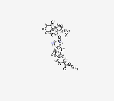 C=C(/C=C\C(=C/CCl)OCc1c(-c2c(Cl)cccc2Cl)noc1C1CC1)C1CC1c1ccc(C(=O)OC)nc1